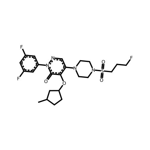 CC1CCC(Oc2c(N3CCN(S(=O)(=O)CCCF)CC3)cnn(-c3cc(F)cc(F)c3)c2=O)C1